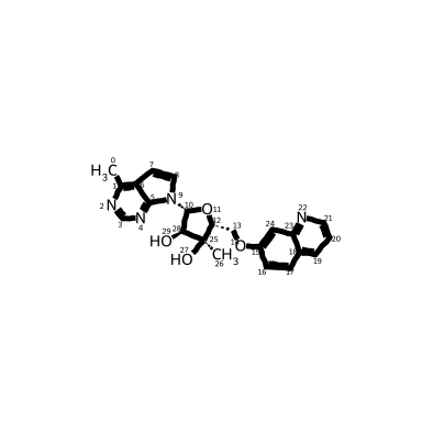 Cc1ncnc2c1ccn2[C@@H]1O[C@H](COc2ccc3cccnc3c2)[C@@](C)(O)[C@H]1O